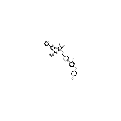 Cn1c(=O)n(CCN2CCN(c3ccc(OC4CC[S+]([O-])CC4)cc3F)CC2)c2nc(N)n3nc(-c4ccco4)nc3c21